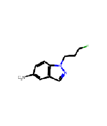 O=[N+]([O-])c1ccc2c(cnn2CCCF)c1